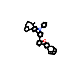 CC1CCCC2CCC(C2)c2cc3c4cc(-c5cccc6c5oc5cc7c(cc56)C5CC6CC8CC7CC86C5)ccc4n(-c4ccccc4)c3cc21